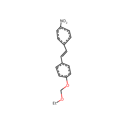 CCOCOc1ccc(/C=C/c2ccc([N+](=O)[O-])cc2)cc1